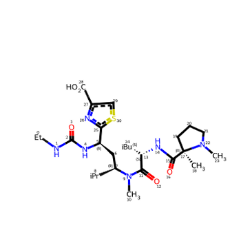 CCNC(=O)N[C@H](C[C@H](C(C)C)N(C)C(=O)[C@@H](NC(=O)[C@@]1(C)CCCN1C)[C@@H](C)CC)c1nc(C(=O)O)cs1